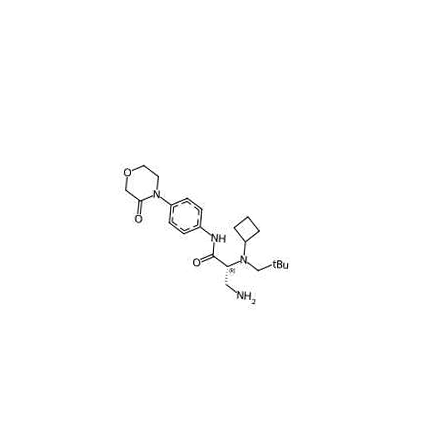 CC(C)(C)CN(C1CCC1)[C@H](CN)C(=O)Nc1ccc(N2CCOCC2=O)cc1